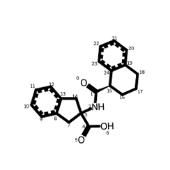 O=C(NC1(C(=O)O)Cc2ccccc2C1)[C@@H]1CCCc2ccccc21